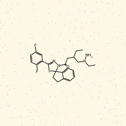 CCC(CC(=O)N1N=C(c2cc(F)ccc2F)SC12CCc1ccccc12)CN(N)CC